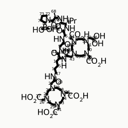 CC(C)[C@H](NC(=O)CNC(=O)CNC(=O)C(CCCCNC(=O)CN1CCN(CC(=O)O)CCN(CC(=O)O)CCN(CC(=O)O)CC1)NC(=O)CN1CCN(CC(=O)O)CCN(CC(O)O)CCN(CC(=O)O)CC1)C(=O)N[C@H](C)C(=O)N1CCC[C@H]1B(O)O